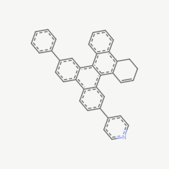 C1=Cc2c(c3ccccc3c3c4cc(-c5ccccc5)ccc4c4ccc(-c5ccncc5)cc4c23)CC1